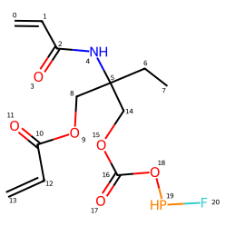 C=CC(=O)NC(CC)(COC(=O)C=C)COC(=O)OPF